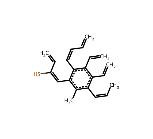 C=C/C=C\c1c(C=C)c(C=C)c(/C=C\C)c(C)c1/C=C(/S)C=C